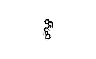 c1ccc2c(-c3ccc4oc5nccnc5c4n3)nccc2c1